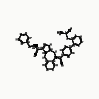 NC(=O)Cc1ccccc1-c1ccc(C(=O)N2Cc3ccc(C(=O)NCc4cccnc4)n3Cc3ccccc32)cc1